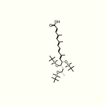 CC(=C\C=C\C(C)=C\[C@H](O[Si](C)(C)C(C)(C)C)[C@H](C[C@H](C)O[Si](C)(C)C(C)(C)C)O[Si](C)(C)C(C)(C)C)/C=C(C)/C=C/C(=O)O